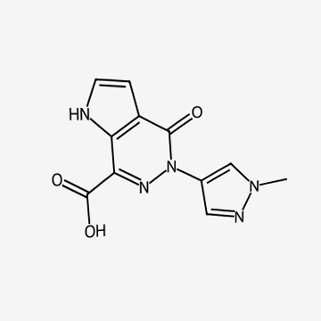 Cn1cc(-n2nc(C(=O)O)c3[nH]ccc3c2=O)cn1